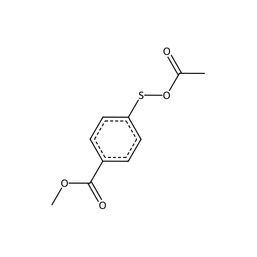 COC(=O)c1ccc(SOC(C)=O)cc1